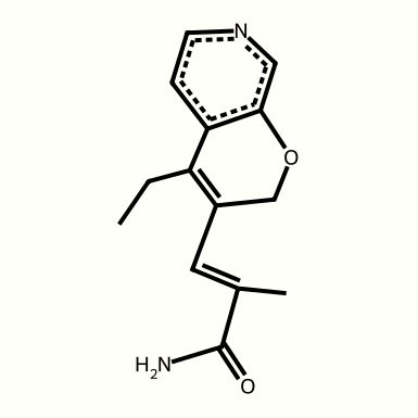 CCC1=C(/C=C(\C)C(N)=O)COc2cnccc21